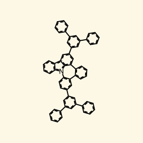 c1ccc(-c2cc(-c3ccccc3)cc(-c3ccc4c(c3)-c3ccccc3-c3cc(-c5cc(-c6ccccc6)cc(-c6ccccc6)c5)cc5c6ccccc6n-4c35)c2)cc1